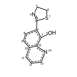 Oc1c(C2=NCCS2)ccc2cccnc12